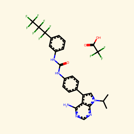 CC(C)n1cc(-c2ccc(NC(=O)Nc3cccc(C(F)(F)C(F)(F)C(F)(F)F)c3)cc2)c2c(N)ncnc21.O=C(O)C(F)(F)F